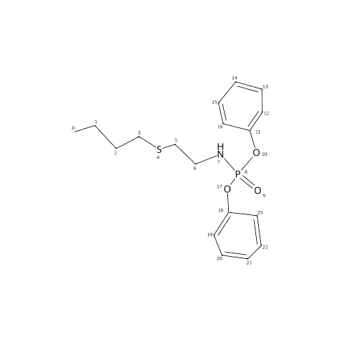 CCCCSCCNP(=O)(Oc1ccccc1)Oc1ccccc1